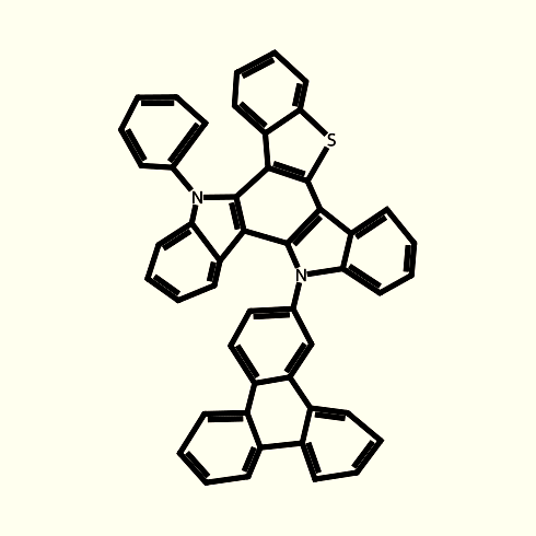 c1ccc(-n2c3ccccc3c3c4c(c5ccccc5n4-c4ccc5c6ccccc6c6ccccc6c5c4)c4sc5ccccc5c4c32)cc1